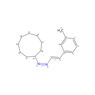 Cc1cccc(/C=C/N=N\C2CCCCCCCC2)c1